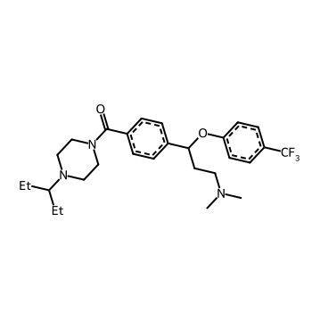 CCC(CC)N1CCN(C(=O)c2ccc(C(CCN(C)C)Oc3ccc(C(F)(F)F)cc3)cc2)CC1